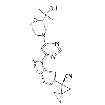 CC(C)(O)C1CN(c2cc(-n3ncc4ccc([C@]5(C#N)CC56CC6)cc43)ncn2)CCO1